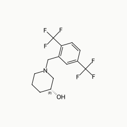 O[C@@H]1CCCN(Cc2cc(C(F)(F)F)ccc2C(F)(F)F)C1